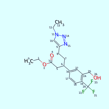 CCOC(=O)CC(CCc1cn(CC)nn1)c1ccc(C(F)(F)F)c(CO)c1